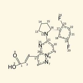 O=C(O)C=Cc1cnn2ccc(N3CCC[C@@H]3c3cc(F)ccc3F)nc12